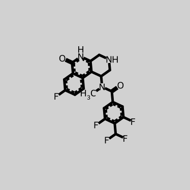 CN(C(=O)c1cc(F)c(C(F)F)c(F)c1)C1CNCc2[nH]c(=O)c3cc(F)ccc3c21